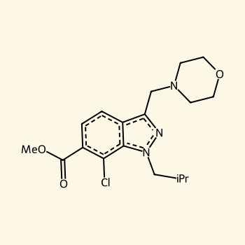 COC(=O)c1ccc2c(CN3CCOCC3)nn(CC(C)C)c2c1Cl